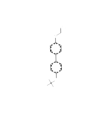 CCNc1ccc(-c2ccc(OC(F)(F)F)cc2)cc1